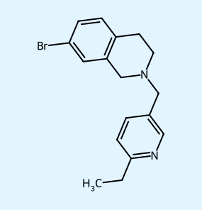 CCc1ccc(CN2CCc3ccc(Br)cc3C2)cn1